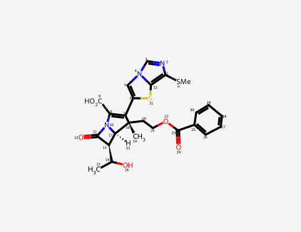 CSc1ncn2cc(C3=C(C(=O)O)N4C(=O)[C@H](C(C)O)[C@@H]4[C@@]3(C)CCOC(=O)c3ccccc3)sc12